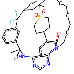 C[C@H]1Nc2ncnc3c2cc(C2CCS(=O)(=O)CC2)c(=O)n3CCCCCCCN2CCC(CC2(C)C)C(F)(F)c2cccc1c2